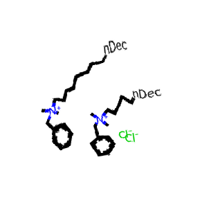 CCCCCCCCCCCCCCCCCC[N+](C)(C)Cc1ccccc1.CCCCCCCCCCCCCC[N+](C)(C)Cc1ccccc1.[Cl-].[Cl-]